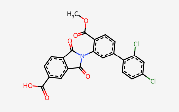 COC(=O)c1ccc(-c2ccc(Cl)cc2Cl)cc1N1C(=O)c2ccc(C(=O)O)cc2C1=O